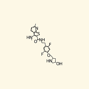 CNc1c(C(=O)NCCc2cc(F)c(OCC3CC(O)CN3)cc2F)sc2nc(C)ccc12